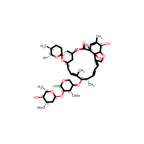 CO[C@H]1C[C@H](O[C@H]2[C@@H](Cl)OCC(O[C@H]3/C(C)=C/C[C@@H]4C[C@@H](C[C@]5(CC[C@H](C)[C@@H](C(C)C)O5)O4)OC(=O)[C@@H]4C=C(C)[C@@H](O)C5OC/C(=C\C=C\[C@@H]3C)C54O)[C@@H]2OC)O[C@@H](C)[C@@H]1O